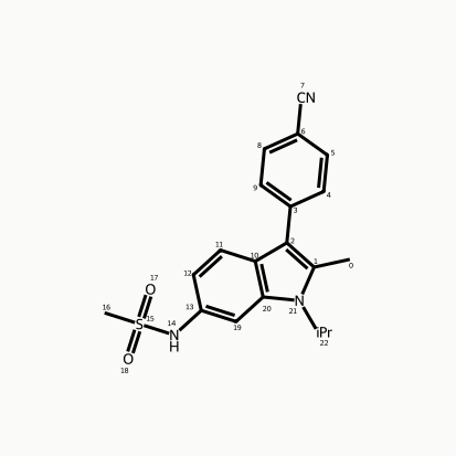 Cc1c(-c2ccc(C#N)cc2)c2ccc(NS(C)(=O)=O)cc2n1C(C)C